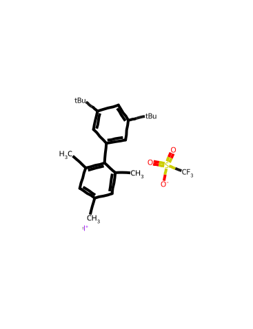 Cc1cc(C)c(-c2cc(C(C)(C)C)cc(C(C)(C)C)c2)c(C)c1.O=S(=O)([O-])C(F)(F)F.[I+]